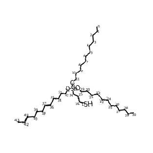 CCCCCCCCCCCCO[Si](CCCS)(OCCCCCCCCCCCC)OCCCCCCCCCCCC